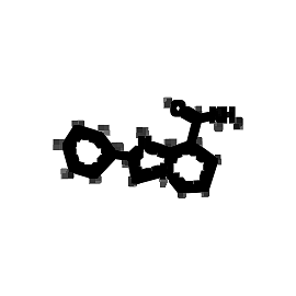 NC(=O)c1cccn2cc(-c3ccccc3)nc12